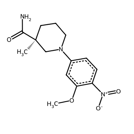 COc1cc(N2CCC[C@](C)(C(N)=O)C2)ccc1[N+](=O)[O-]